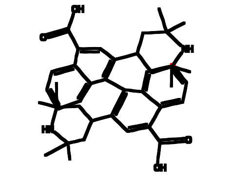 CC1(C)CC(c2cc(C(=O)O)c3ccccc3c2-c2c(C3CC(C)(C)NC(C)(C)C3)cc(C(=O)O)c3ccccc23)CC(C)(C)N1